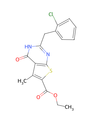 CCOC(=O)c1sc2nc(Cc3ccccc3Cl)[nH]c(=O)c2c1C